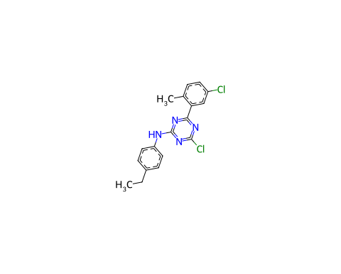 CCc1ccc(Nc2nc(Cl)nc(-c3cc(Cl)ccc3C)n2)cc1